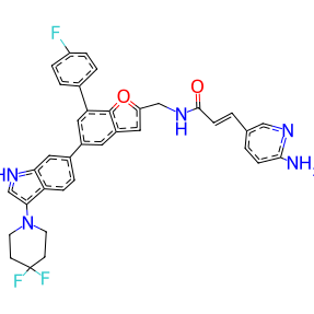 Nc1ccc(/C=C/C(=O)NCc2cc3cc(-c4ccc5c(N6CCC(F)(F)CC6)c[nH]c5c4)cc(-c4ccc(F)cc4)c3o2)cn1